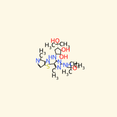 COC(C)(C)CNc1nc(C)c(-c2nc3c(C)nccc3s2)c(NC2C[C@H](C(C)(C)O)[C@@H](O)[C@H]2O)n1